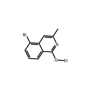 CCOc1nc(C)cc2c(Br)cccc12